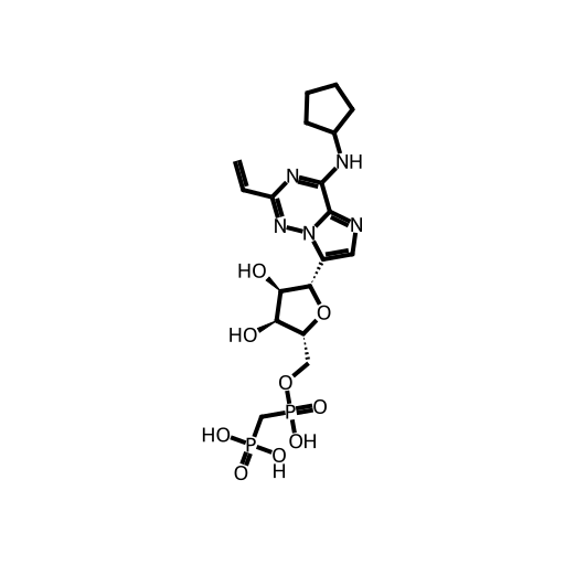 C=Cc1nc(NC2CCCC2)c2ncc([C@@H]3O[C@H](COP(=O)(O)CP(=O)(O)O)[C@@H](O)[C@H]3O)n2n1